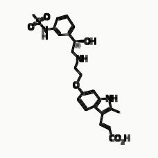 Cc1[nH]c2cc(OCCNC[C@H](O)c3cccc(NS(C)(=O)=O)c3)ccc2c1C=CC(=O)O